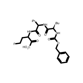 CC[C@H](C)C(NC(=O)OCc1ccccc1)C(=O)NC(C(=O)NC(CCF)C(=O)C(=O)O)C(C)C